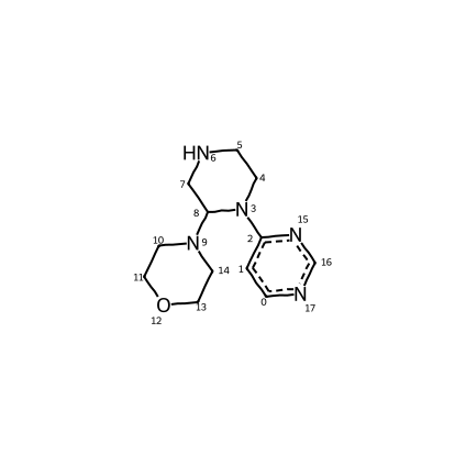 c1cc(N2CCNCC2N2CCOCC2)ncn1